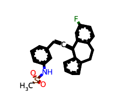 CS(=O)(=O)Nc1cccc(C=C=C2c3ccccc3CCc3ccc(F)cc32)c1